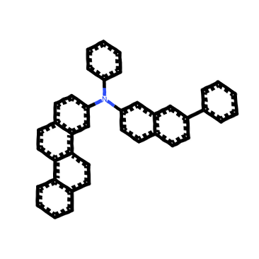 c1ccc(-c2ccc3ccc(N(c4ccccc4)c4ccc5ccc6c7ccccc7ccc6c5c4)cc3c2)cc1